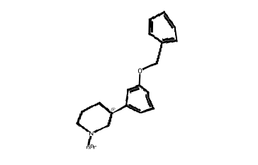 CCCN1CCC[C@@H](c2cccc(OCc3ccccc3)c2)C1